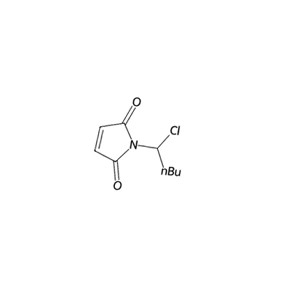 CCCCC(Cl)N1C(=O)C=CC1=O